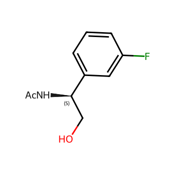 CC(=O)N[C@H](CO)c1cccc(F)c1